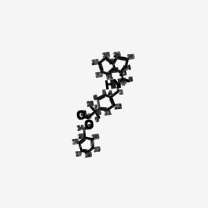 C[C@@H](NCc1ccc(C(C)(C)C(=O)OCc2ccccc2)cc1)c1cccc2ccccc12